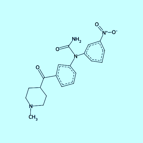 CN1CCC(C(=O)c2cccc(N(C(N)=O)c3cccc([N+](=O)[O-])c3)c2)CC1